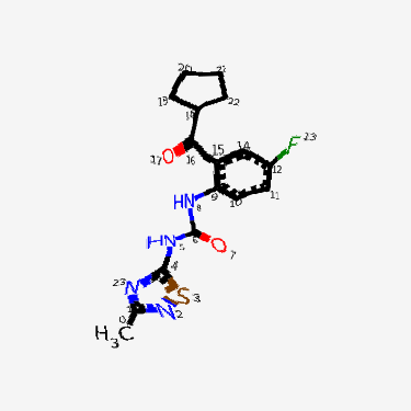 Cc1nsc(NC(=O)Nc2ccc(F)cc2C(=O)C2CCCC2)n1